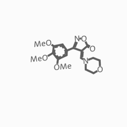 COc1cc(C2=NOC(=O)C2=CN2CCOCC2)cc(OC)c1OC